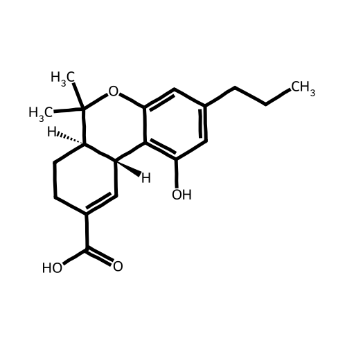 CCCc1cc(O)c2c(c1)OC(C)(C)[C@@H]1CCC(C(=O)O)=C[C@@H]21